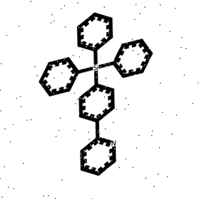 c1ccc([Si](c2ccccc2)(c2ccccc2)c2ccc(-c3ccccn3)cc2)cc1